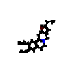 COc1cc2c(cc1OC)C1Cc3sc(CC(C)C)cc3CN1CC2